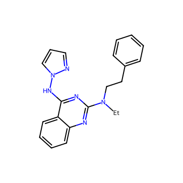 CCN(CCc1ccccc1)c1nc(Nn2cccn2)c2ccccc2n1